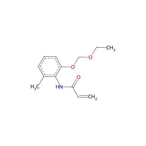 C=CC(=O)Nc1c(C)cccc1OCOCC